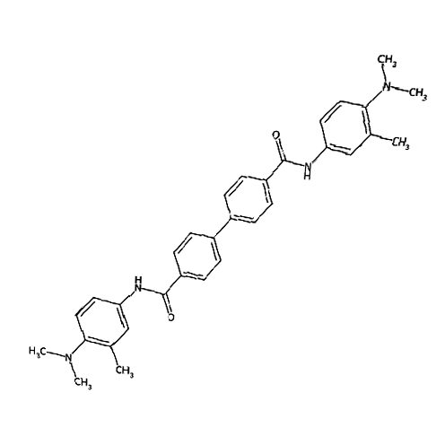 Cc1cc(NC(=O)c2ccc(-c3ccc(C(=O)Nc4ccc(N(C)C)c(C)c4)cc3)cc2)ccc1N(C)C